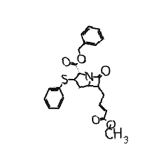 COC(=O)C=CCC1C(=O)N2C1CC(Sc1ccccc1)[C@@H]2C(=O)OCc1ccccc1